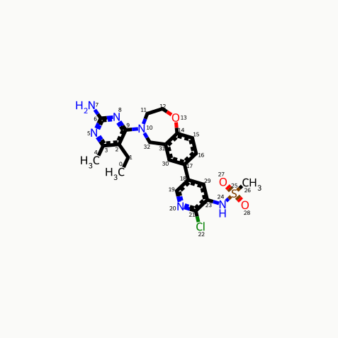 CCc1c(C)nc(N)nc1N1CCOc2ccc(-c3cnc(Cl)c(NS(C)(=O)=O)c3)cc2C1